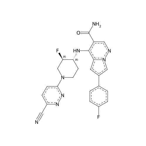 N#Cc1ccc(N2CC[C@@H](Nc3c(C(N)=O)cnn4cc(-c5ccc(F)cc5)cc34)[C@H](F)C2)nn1